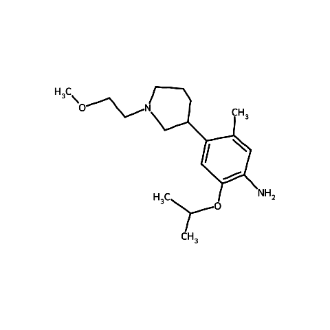 COCCN1CCCC(c2cc(OC(C)C)c(N)cc2C)C1